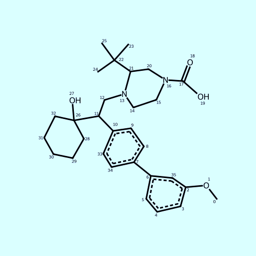 COc1cccc(-c2ccc(C(CN3CCN(C(=O)O)CC3C(C)(C)C)C3(O)CCCCC3)cc2)c1